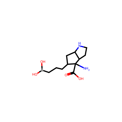 NC1(C(=O)O)C(CCCB(O)O)CC2NCCC21